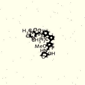 COc1cc(-c2cccc(-c3cccc(NC(=O)C4=CN(C)C5OC5N(C)C4=O)c3Cl)c2C)cc(F)c1CN[C@@H]1CCOC[C@H]1O